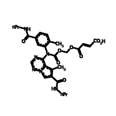 CCCNC(=O)c1ccc(C)c(N(C(=O)OCOC(=O)/C=C/C(=O)O)c2ncnn3cc(C(=O)NCCC)c(C)c23)c1